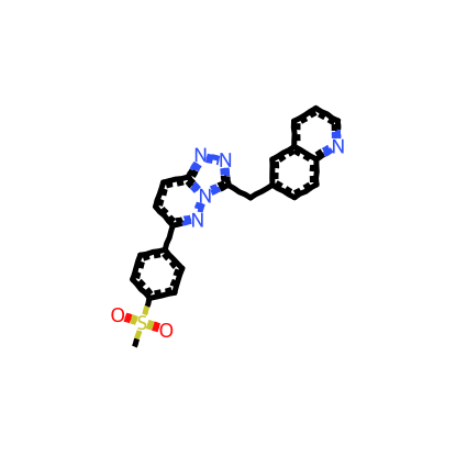 CS(=O)(=O)c1ccc(-c2ccc3nnc(Cc4ccc5ncccc5c4)n3n2)cc1